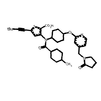 CC1CCC(C(=O)N(c2cc(C#CC(C)(C)C)sc2C(=O)O)C2CCC(Oc3cc(CN4CCCC4=O)ccn3)CC2)CC1